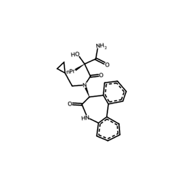 CCC[C@@](O)(C(N)=O)C(=O)N(CC1CC1)[C@@H]1C(=O)Nc2ccccc2-c2ccccc21